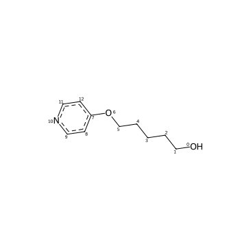 OCCCCCOc1ccncc1